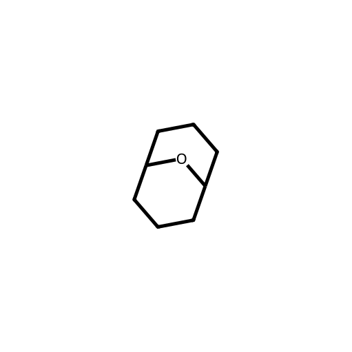 C1CC2CCCC(C1)O2